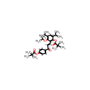 CC(C)Oc1c(C(C)C)cc(C(C)C)c(OC(=O)C(C)(C)C)c1/C=C/C(=O)c1ccc(OC(=O)C(C)(C)C)cc1